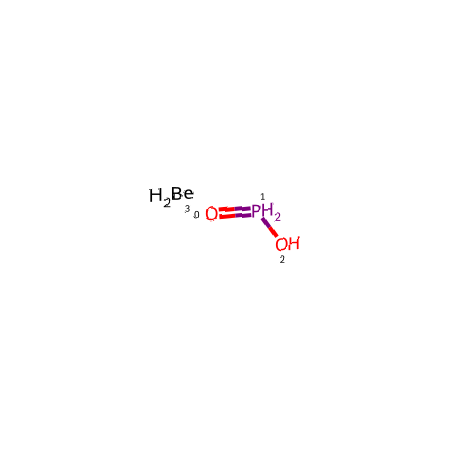 O=[PH2]O.[BeH2]